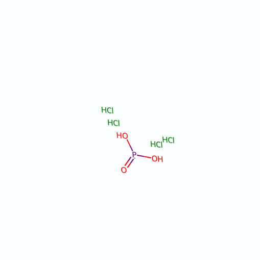 Cl.Cl.Cl.Cl.O=[P](O)O